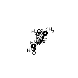 Cc1ccc(CNc2nc(Nc3ccc4c(c3)CC(=O)N4)ncc2C(F)(F)F)c(NS(C)(=O)=O)c1